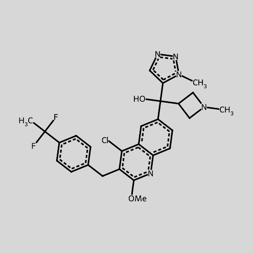 COc1nc2ccc(C(O)(c3cnnn3C)C3CN(C)C3)cc2c(Cl)c1Cc1ccc(C(C)(F)F)cc1